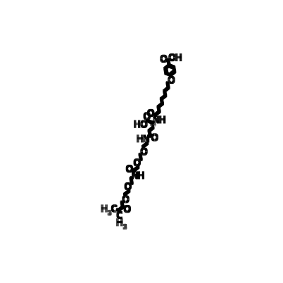 CC(C)C(=O)COCCOCCNC(=O)COCCOCCNC(=O)CC[C@H](NC(=O)CCCCCCCCOc1ccc(C(=O)O)cc1)C(=O)O